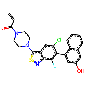 C=CC(=O)N1CCN(c2snc3c(F)c(-c4cc(O)cc5ccccc45)c(Cl)cc23)CC1